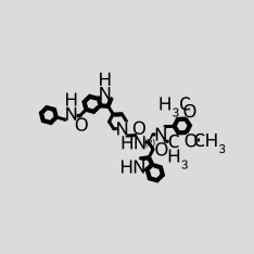 COc1cc(CN(C[C@@H](Cc2c[nH]c3ccccc23)NC(=O)CN2CC=C(c3c[nH]c4ccc(C(=O)NCc5ccccc5)cc34)CC2)C(C)=O)cc(OC)c1